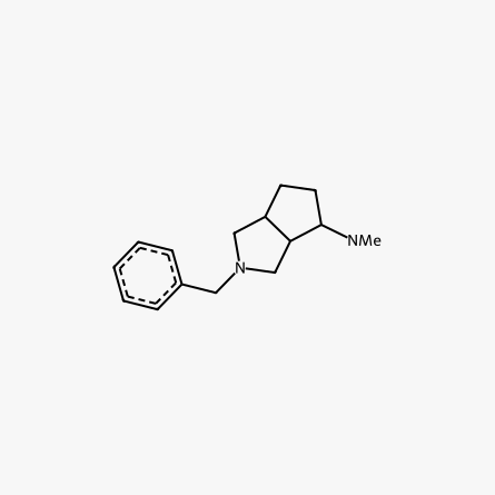 CNC1CCC2CN(Cc3ccccc3)CC21